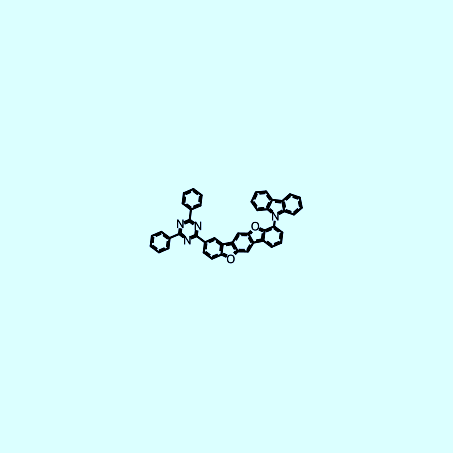 c1ccc(-c2nc(-c3ccccc3)nc(-c3ccc4oc5cc6c(cc5c4c3)oc3c(-n4c5ccccc5c5ccccc54)cccc36)n2)cc1